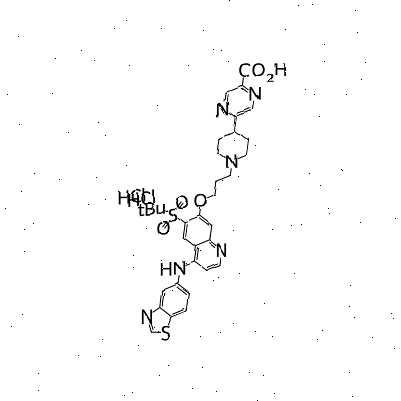 CC(C)(C)S(=O)(=O)c1cc2c(Nc3ccc4scnc4c3)ccnc2cc1OCCCN1CCC(c2cnc(C(=O)O)cn2)CC1.Cl.Cl